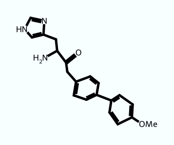 COc1ccc(-c2ccc(CC(=O)C(N)Cc3c[nH]cn3)cc2)cc1